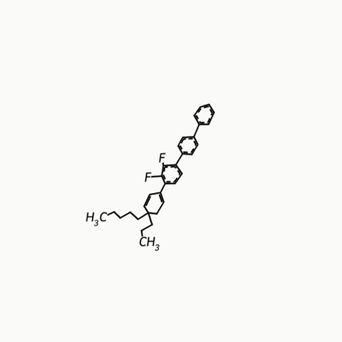 CCCCCC1(CCC)C=CC(c2ccc(-c3ccc(-c4ccccc4)cc3)c(F)c2F)=CC1